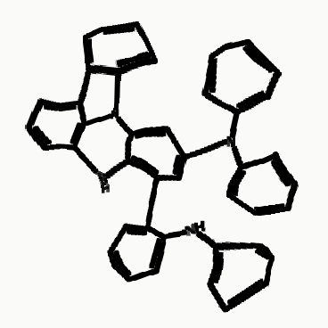 B1c2c(-c3ccccc3Nc3ccccc3)cc(N(c3ccccc3)c3ccccc3)cc2-n2c3ccccc3c3cccc1c32